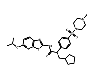 CC(C)Oc1ccc2nc(NC(=O)[C@H](CC3CCCC3)c3ccc(S(=O)(=O)N4CCN(C)CC4)cc3)sc2n1